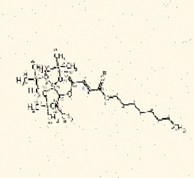 CCCCCCCCOC(=O)/C=C/C(=O)OC(CC)[Si](O[Si](C)(C)C)(O[Si](C)(C)C)O[Si](C)(C)C